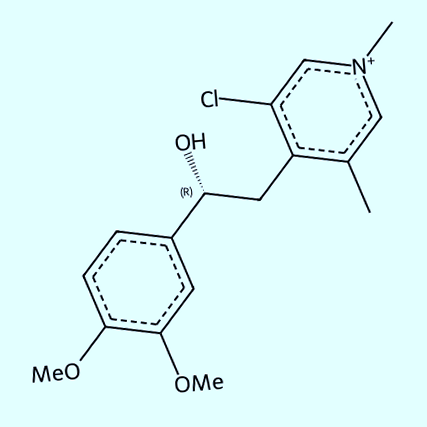 COc1ccc([C@H](O)Cc2c(C)c[n+](C)cc2Cl)cc1OC